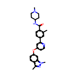 Cc1cc(-c2cc(Oc3ccc4c(C)nn(C)c4c3)ccn2)ccc1C(=O)NC1CCN(C)CC1